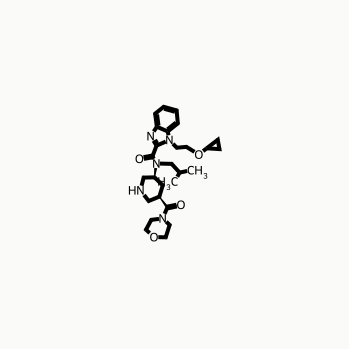 CC(C)CN(C(=O)c1nc2ccccc2n1CCOC1CC1)[C@@H]1CNC[C@H](C(=O)N2CCOCC2)C1